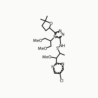 COCC(COC)n1c(NSC(C)C(OC)c2ncc(Cl)cn2)nnc1C1CCC(C)(C)O1